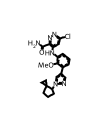 COc1c(Nc2cc(Cl)nnc2C(N)=O)cccc1-c1cnn(C2CCCC23CC3)c1